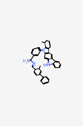 CC1CC=Cc2c1n(-c1cccc(C(N)/N=C/C3C=CC(c4ccccc4)=CC3C)c1)c1cc3[nH]c4ccccc4c3cc21